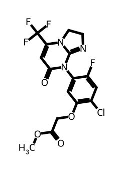 COC(=O)COc1cc(N2C(=O)C=C(C(F)(F)F)N3CCN=C32)c(F)cc1Cl